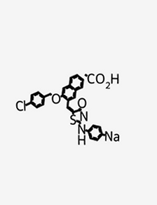 CC(=O)O.O=C1N=C(Nc2cc[c]([Na])cc2)SC1=Cc1cc2ccccc2cc1OCc1ccc(Cl)cc1